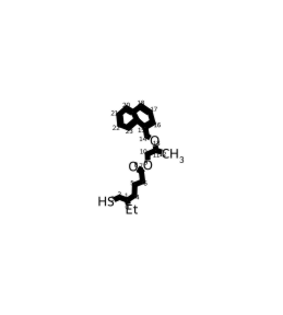 CCC(CS)CCCC(=O)OCC(C)OCc1cccc2ccccc12